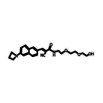 N#C/C(=C\c1ccc2cc(N3CCC3)ccc2c1)C(=O)NCCOCCOCCO